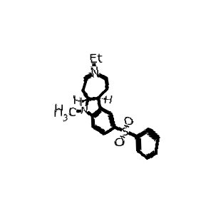 CCN1CC[C@@H]2[C@@H](CC1)c1cc(S(=O)(=O)c3ccccc3)ccc1N2C